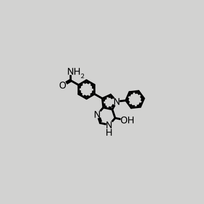 NC(=O)c1ccc(-c2cn(-c3ccccc3)c3c2N=CNC3O)cc1